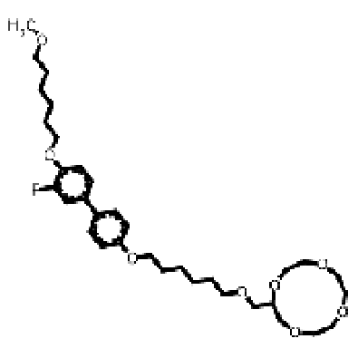 COCCCCCCOc1ccc(-c2ccc(OCCCCCCOCC3COCCOCCOCCO3)cc2)cc1F